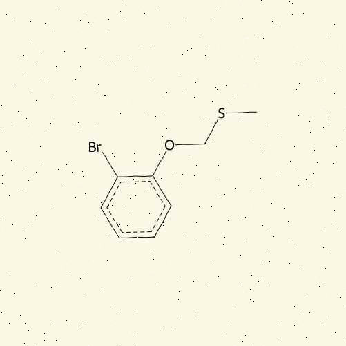 CSCOc1ccccc1Br